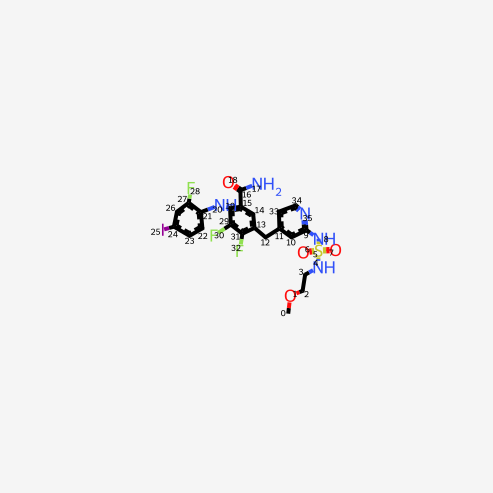 COCCNS(=O)(=O)Nc1cc(Cc2cc(C(N)=O)c(Nc3ccc(I)cc3F)c(F)c2F)ccn1